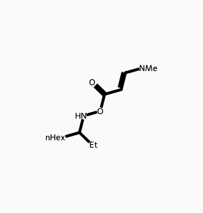 CCCCCCC(CC)NOC(=O)C=CNC